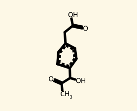 CC(=O)C(O)c1ccc(CC(=O)O)cc1